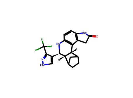 O=C1Cc2c(ccc3c2[C@@H]2C4CCC(C4)[C@@H]2[C@@H](c2c[nH]nc2C(F)(F)F)N3)N1